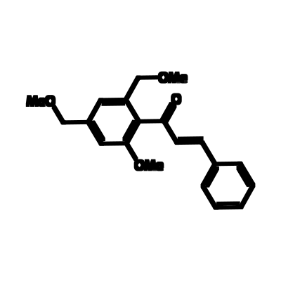 COCc1cc(COC)c(C(=O)C=Cc2ccccc2)c(OC)c1